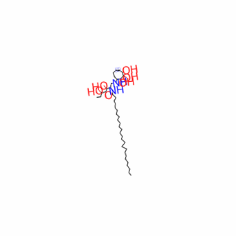 CCCCCCCCCCCCCCCCCCCCCCCCCC(=O)NC(CNC1CC/C=C\C(O)C(O)C1O)C(O)CC(O)CC